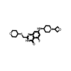 O=c1[nH]c(CSC2CCOCC2)nc2cc(NC3CCN(C4COC4)CC3)cc(F)c12